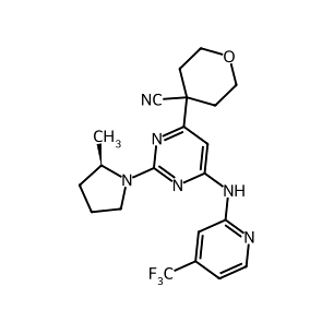 C[C@@H]1CCCN1c1nc(Nc2cc(C(F)(F)F)ccn2)cc(C2(C#N)CCOCC2)n1